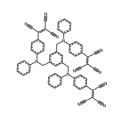 N#CC(C#N)=C(C#N)c1ccc(N(Cc2cc(CN(c3ccccc3)c3ccc(C(C#N)=C(C#N)C#N)cc3)cc(CN(c3ccccc3)c3ccc(C(C#N)=C(C#N)C#N)cc3)c2)c2ccccc2)cc1